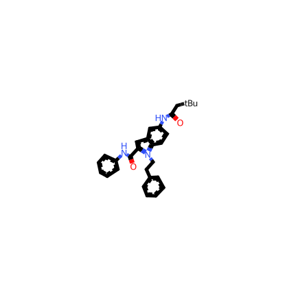 CC(C)(C)CC(=O)Nc1ccc2c(c1)cc(C(=O)Nc1ccccc1)n2CCc1ccccc1